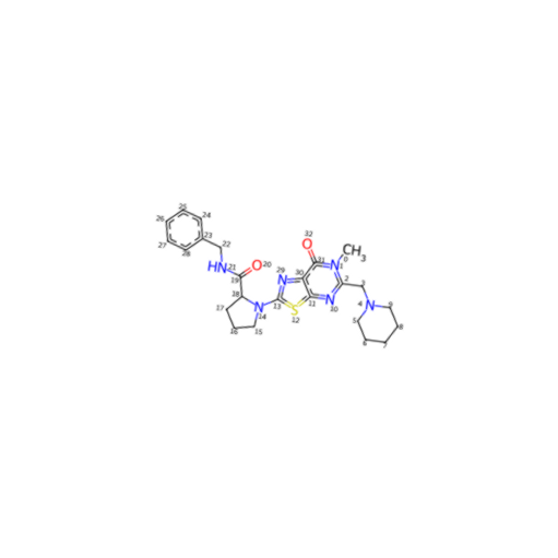 Cn1c(CN2CCCCC2)nc2sc(N3CCCC3C(=O)NCc3ccccc3)nc2c1=O